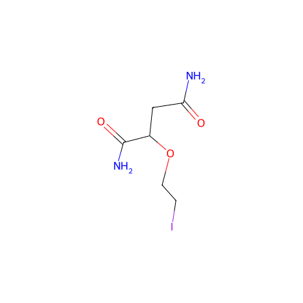 NC(=O)CC(OCCI)C(N)=O